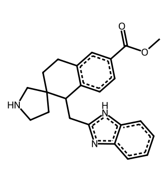 COC(=O)c1ccc2c(c1)CCC1(CCNC1)C2Cc1nc2ccccc2[nH]1